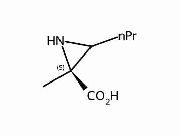 CCCC1N[C@]1(C)C(=O)O